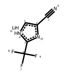 N#Cc1c[nH]c(C(F)(F)F)n1.[LiH]